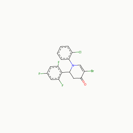 O=C1CC(c2c(F)cc(F)cc2F)N(c2ccccc2Cl)C=C1Br